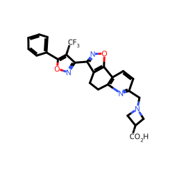 O=C(O)C1CN(Cc2ccc3c(n2)CCc2c(-c4noc(-c5ccccc5)c4C(F)(F)F)noc2-3)C1